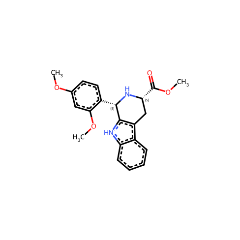 COC(=O)[C@@H]1Cc2c([nH]c3ccccc23)[C@H](c2ccc(OC)cc2OC)N1